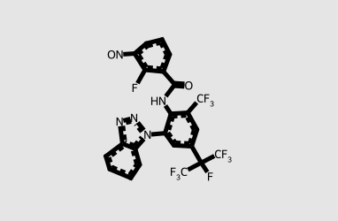 O=Nc1cccc(C(=O)Nc2c(-n3nnc4ccccc43)cc(C(F)(C(F)(F)F)C(F)(F)F)cc2C(F)(F)F)c1F